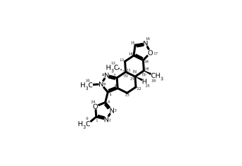 Cc1nnc(-c2c3c(nn2C)[C@@]2(C)Cc4cnoc4[C@@H](C)[C@@H]2CC3)o1